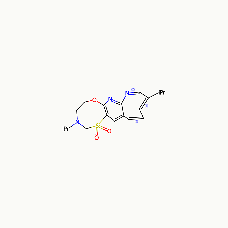 CC(C)C1=C\C=C/c2cc3c(nc2/N=C\1)OCCN(C(C)C)CS3(=O)=O